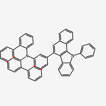 c1ccc(-c2ccccc2N(c2cccc(-c3cc4ccccc4c4c3c3ccccc3n4-c3ccccc3)c2)c2ccccc2-c2ccccc2)cc1